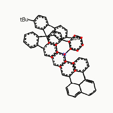 CC(C)(C)c1ccc2c(c1)C1(c3ccccc3-c3ccc(N(c4ccc(C5C=CC=C6C=CC=C(c7ccccc7)C65)cc4)c4ccccc4-c4ccccc4-c4ccccc4-c4ccccc4)cc31)c1cc(C(C)(C)C)ccc1-2